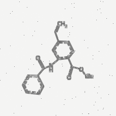 C=Cc1ccc(C(=O)OC(C)(C)C)c(NC(=O)c2ccccc2)c1